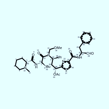 CC[C@H](C)[C@H](NC(=O)[C@H]1CCCCN1C)C(=O)N(COC)[C@H](C[C@@H](OC(C)=O)c1nc(C(=O)N[C@H](C=O)Cc2ccccc2)cs1)C(C)C